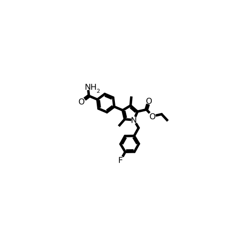 CCOC(=O)c1c(C)c(-c2ccc(C(N)=O)cc2)c(C)n1Cc1ccc(F)cc1